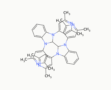 Cc1cc(N2c3ccccc3N(c3cc(C)nc(C)c3)C2C2N(c3cc(C)nc(C)c3)c3ccccc3N2c2cc(C)nc(C)c2)cc(C)n1